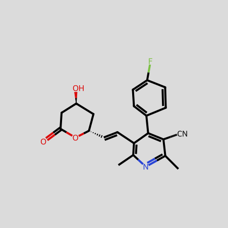 Cc1nc(C)c(/C=C/[C@H]2C[C@H](O)CC(=O)O2)c(-c2ccc(F)cc2)c1C#N